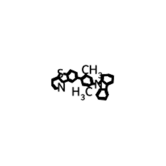 Cc1cc(-n2c3ccccc3c3ccccc32)c(C)cc1-c1ccc2sc3cccnc3c2c1